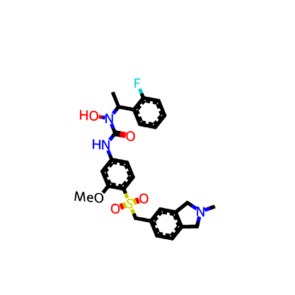 COc1cc(NC(=O)N(O)C(C)c2ccccc2F)ccc1S(=O)(=O)Cc1ccc2c(c1)CN(C)C2